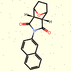 O=C1[C@@H]2C3CCC(O3)[C@@H]2C(=O)N1c1ccc2ccccc2c1